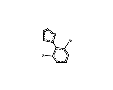 Brc1cccc(Br)c1-c1cc[c]s1